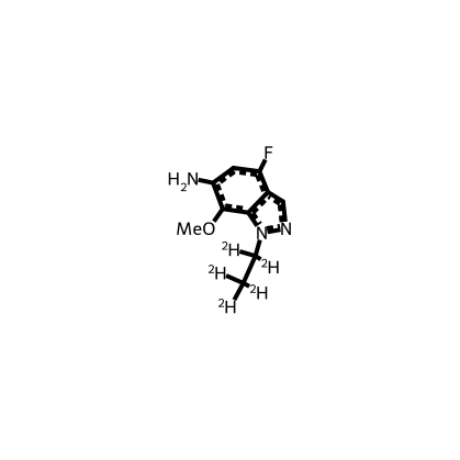 [2H]C([2H])([2H])C([2H])([2H])n1ncc2c(F)cc(N)c(OC)c21